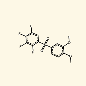 COc1ccc(S(=O)(=O)c2cc(F)c(F)c(F)c2F)cc1OC